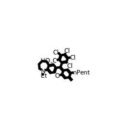 C=c1cc2c(cc1CCCCC)=C(c1c(Cl)c(Cl)c(Cl)c(Cl)c1C(=O)O)c1cc3c(cc1O2)N(CC)CCCC3